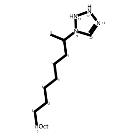 CCCCCCCCCCCCCCC(C)N1C=NNN1